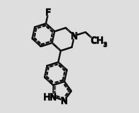 CCN1Cc2c(F)cccc2C(c2ccc3[nH]ncc3c2)C1